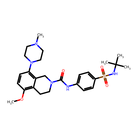 COc1ccc(N2CCN(C)CC2)c2c1CCN(C(=O)Nc1ccc(S(=O)(=O)NC(C)(C)C)cc1)C2